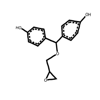 Oc1ccc(C(OCC2CO2)c2ccc(O)cc2)cc1